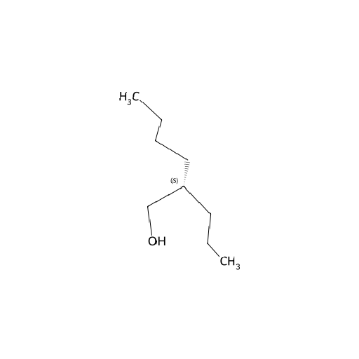 CCCC[C@@H](CO)CCC